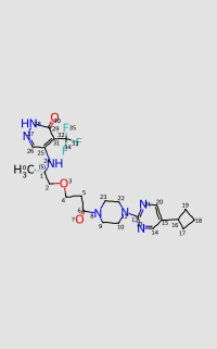 C[C@@H](COCCC(=O)N1CCN(c2ncc(C3CCC3)cn2)CC1)Nc1cn[nH]c(=O)c1C(F)(F)F